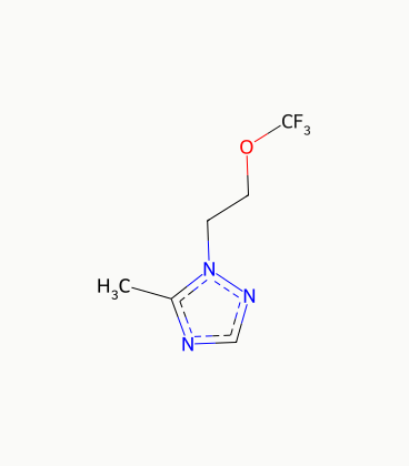 Cc1ncnn1CCOC(F)(F)F